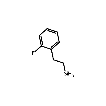 Fc1ccccc1CC[SiH3]